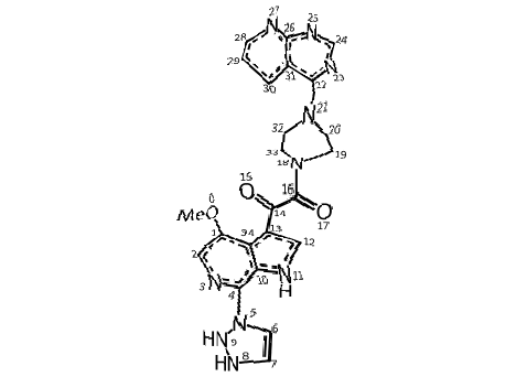 COc1cnc(N2C=CNN2)c2[nH]cc(C(=O)C(=O)N3CCN(c4ncnc5ncccc45)CC3)c12